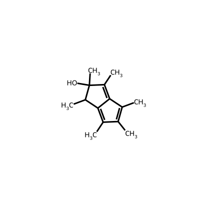 CC1=C(C)C2=C(C)C(C)(O)C(C)C2=C1C